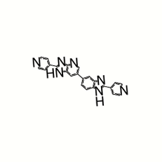 c1cc(-c2nc3cc(-c4cnc5nc(-c6ccncc6)[nH]c5c4)ccc3[nH]2)ccn1